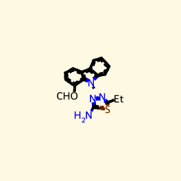 CCc1nnc(N)s1.Cn1c2ccccc2c2cccc(C=O)c21